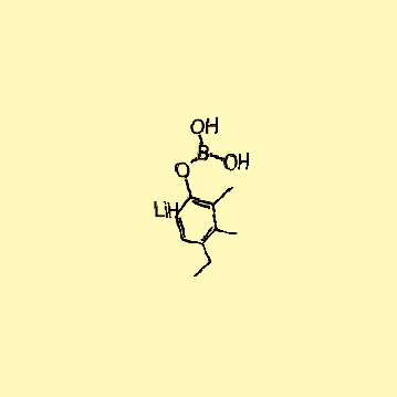 CCc1ccc(OB(O)O)c(C)c1C.[LiH]